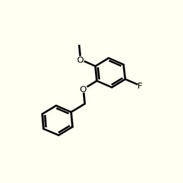 COc1ccc(F)cc1OCc1ccccc1